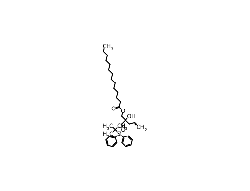 C=CCC(O)(COC(=O)CCCCCCCCCCCCC)CO[Si](c1ccccc1)(c1ccccc1)C(C)(C)C